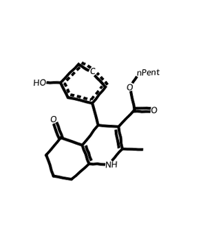 CCCCCOC(=O)C1=C(C)NC2=C(C(=O)CCC2)C1c1cccc(O)c1